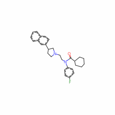 O=C(C1CCCCC1)N(CCN1CCC(c2ccc3ccccc3c2)C1)c1ccc(F)cc1